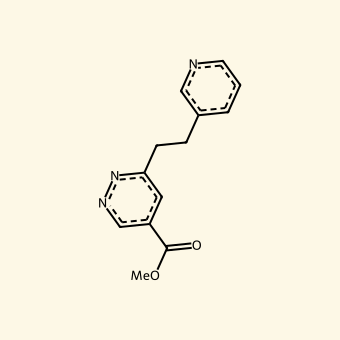 COC(=O)c1cnnc(CCc2cccnc2)c1